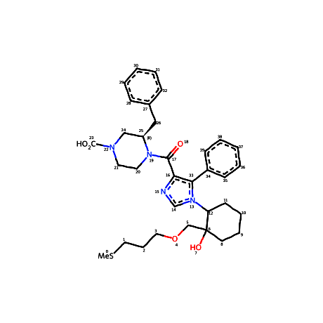 CSCCCOCC1(O)CCCCC1n1cnc(C(=O)N2CCN(C(=O)O)C[C@H]2Cc2ccccc2)c1-c1ccccc1